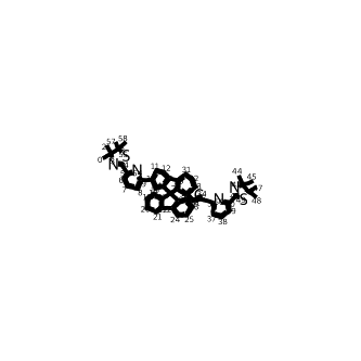 CC1(C)N=C(c2cccc(-c3ccc4c(c3)C3(c5ccccc5-c5ccccc53)c3c-4ccc4cc(-c5cccc(C6=NC(C)(C)C(C)(C)S6)n5)ccc34)n2)SC1(C)C